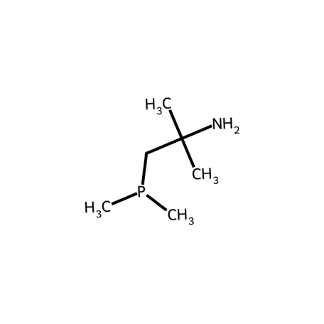 CP(C)CC(C)(C)N